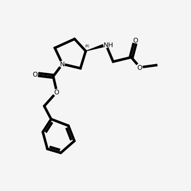 COC(=O)CN[C@@H]1CCN(C(=O)OCc2ccccc2)C1